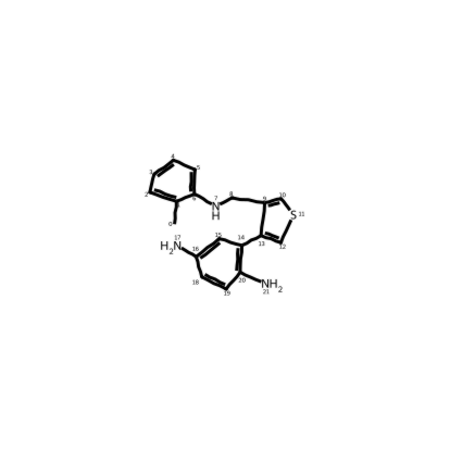 Cc1ccccc1NCc1cscc1-c1cc(N)ccc1N